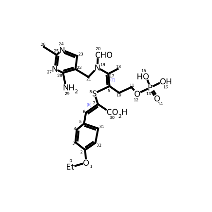 CCOc1ccc(/C=C(/S/C(CCOP(=O)(O)O)=C(/C)N(C=O)Cc2cnc(C)nc2N)C(=O)O)cc1